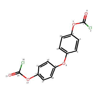 O=C(Cl)Oc1ccc(Oc2ccc(OC(=O)Cl)cc2)cc1